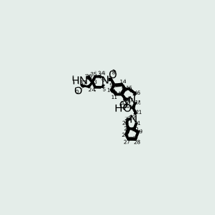 O=C1CC2(CCN(C(=O)c3ccc4c(c3)CCN(CC(O)CN3CCc5ccccc5C3)C4=O)CC2)CN1